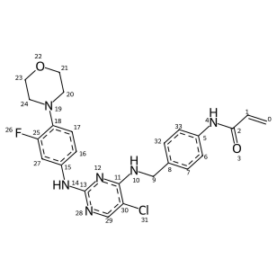 C=CC(=O)Nc1ccc(CNc2nc(Nc3ccc(N4CCOCC4)c(F)c3)ncc2Cl)cc1